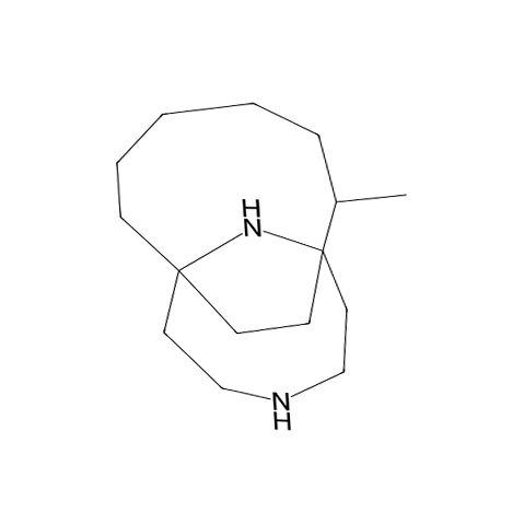 CC1CCCCCC23CCNCCC1(CC2)N3